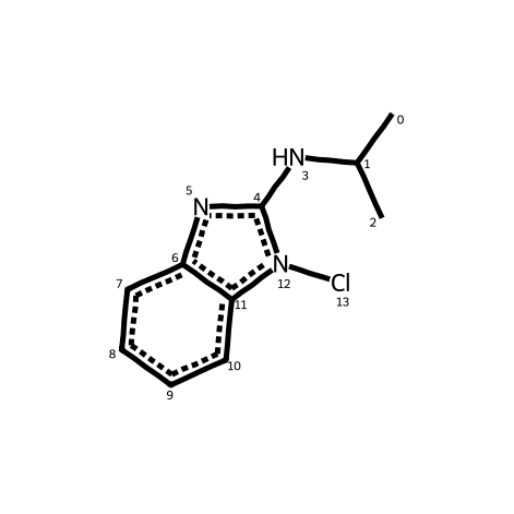 CC(C)Nc1nc2ccccc2n1Cl